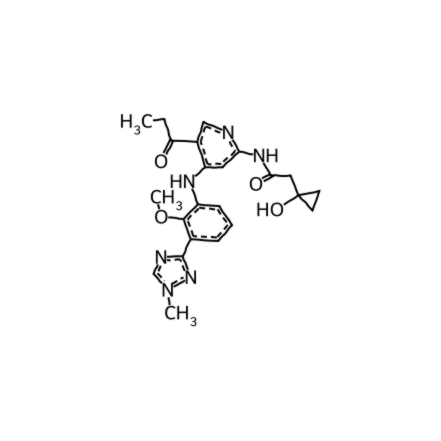 CCC(=O)c1cnc(NC(=O)CC2(O)CC2)cc1Nc1cccc(-c2ncn(C)n2)c1OC